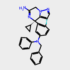 NC1=N[C@@](c2cc(N(Cc3ccccc3)c3ccccc3)ccc2F)(C2CC2)c2ccnn2C1